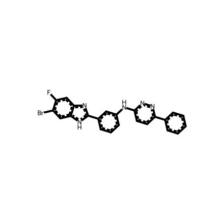 Fc1cc2nc(-c3cccc(Nc4ccc(-c5ccccc5)nn4)c3)[nH]c2cc1Br